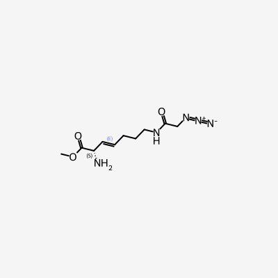 COC(=O)[C@@H](N)/C=C/CCCNC(=O)CN=[N+]=[N-]